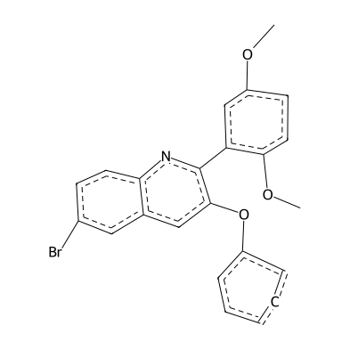 COc1ccc(OC)c(-c2nc3ccc(Br)cc3cc2Oc2ccccc2)c1